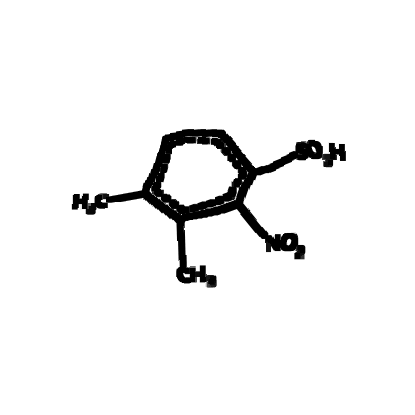 Cc1ccc(S(=O)(=O)O)c([N+](=O)[O-])c1C